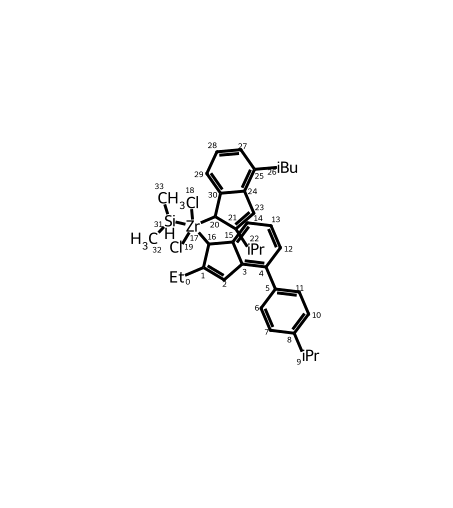 CCC1=Cc2c(-c3ccc(C(C)C)cc3)cccc2[CH]1[Zr]([Cl])([Cl])([CH]1C(C(C)C)=Cc2c(C(C)CC)cccc21)[SiH](C)C